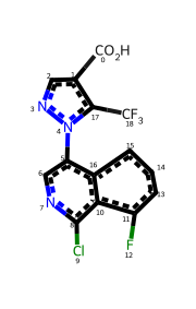 O=C(O)c1cnn(-c2cnc(Cl)c3c(F)cccc23)c1C(F)(F)F